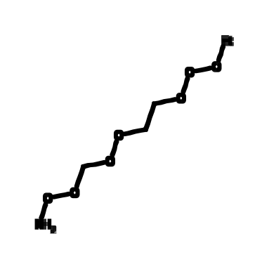 CCOOOCCOOCOON